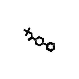 C=C(CC(C)(C)C)N1CCN(c2cccnc2)CC1